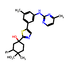 Cc1cc(Nc2nccc(C)n2)cc(-c2cnc(C3(O)CCC(C)(C(=O)O)C(C(C)C)C3)s2)c1